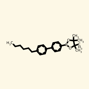 CCCCCCc1ccc(-c2ccc(B3OC(C)(C)C(C)(C)O3)cc2)cc1